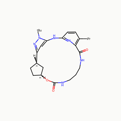 CC(C)c1ccc2nc1C(=O)NCCCNC(=O)O[C@@H]1CC[C@@H](C1)c1cc(n(C(C)(C)C)n1)N2